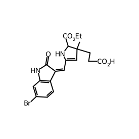 CCOC(=O)C1NC(C=C2C(=O)Nc3cc(Br)ccc32)=CC1(C)CCC(=O)O